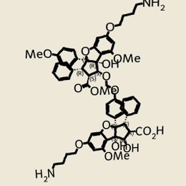 COC(=O)[C@@H]1[C@H](OCOc2ccc([C@@]34Oc5cc(OCCCCN)cc(OC)c5[C@]3(O)[C@H](O)[C@H](C(=O)O)[C@H]4c3ccccc3)cc2)[C@]2(O)c3c(OC)cc(OCCCCN)cc3O[C@]2(c2ccc(OC)cc2)[C@H]1c1ccccc1